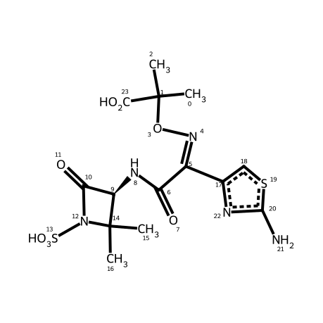 CC(C)(O/N=C(\C(=O)N[C@@H]1C(=O)N(S(=O)(=O)O)C1(C)C)c1csc(N)n1)C(=O)O